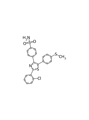 CSc1ccc(-c2sc(-c3ccccc3Cl)nc2-c2ccc(S(N)(=O)=O)cc2)cc1